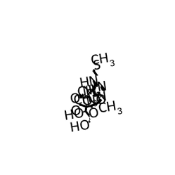 CSCCNc1ncnc2c1ncn2[C@]1(C(C)=O)O[C@H](CO)[C@@H](O)[C@]1(OC(C)=O)C(C)=O